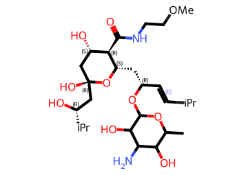 COCCNC(=O)[C@H]1[C@H](C[C@H](/C=C/C(C)C)OC2OC(C)C(O)C(N)C2O)O[C@](O)(C[C@@H](O)C(C)C)C[C@@H]1O